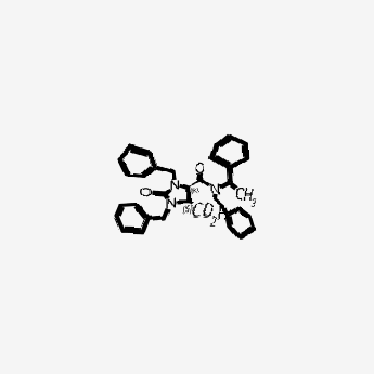 CC(c1ccccc1)N(Cc1ccccc1)C(=O)[C@H]1[C@@H](C(=O)O)N(Cc2ccccc2)C(=O)N1Cc1ccccc1